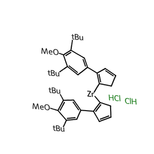 COc1c(C(C)(C)C)cc(C2=[C]([Zr][C]3=C(c4cc(C(C)(C)C)c(OC)c(C(C)(C)C)c4)C=CC3)CC=C2)cc1C(C)(C)C.Cl.Cl